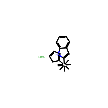 Cl.Cl.[CH2]=[Zr]([CH3])([CH3])([CH3])([CH3])([CH3])([C]1=CC=CC1)[c]1cc2ccccc2[nH]1